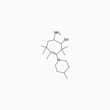 CC1=C(N2CCC(C)CC2)C(C)(C)C(S)C(N)CC1(C)C